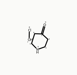 O=C1CCNCC1.OCl